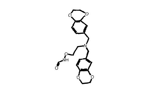 O=CNOCCN(Cc1ccc2c(c1)OCCO2)Cc1ccc2c(c1)OCCO2